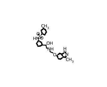 Cc1cccc(S(=O)(=O)Nc2cccc([C@@H](O)CNCCOc3ccc4c(C)n[nH]c4c3)c2)c1